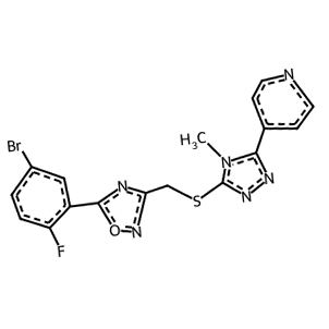 Cn1c(SCc2noc(-c3cc(Br)ccc3F)n2)nnc1-c1ccncc1